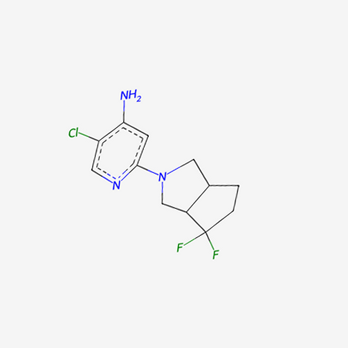 Nc1cc(N2CC3CCC(F)(F)C3C2)ncc1Cl